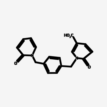 O=C(O)c1ccc(=O)n(Cc2ccc(Cn3ccccc3=O)cc2)c1